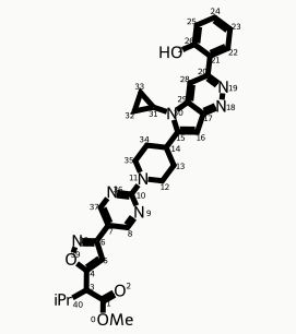 COC(=O)C(c1cc(-c2cnc(N3CCC(c4cc5nnc(-c6ccccc6O)cc5n4C4CC4)CC3)nc2)no1)C(C)C